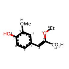 CCO/C(=C\c1ccc(O)c(OC)c1)C(=O)O